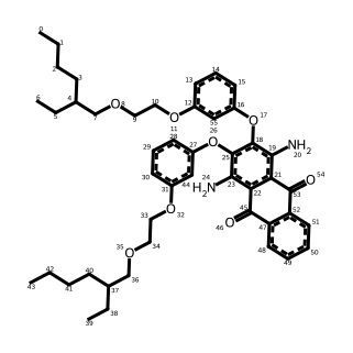 CCCCC(CC)COCCOc1cccc(Oc2c(N)c3c(c(N)c2Oc2cccc(OCCOCC(CC)CCCC)c2)C(=O)c2ccccc2C3=O)c1